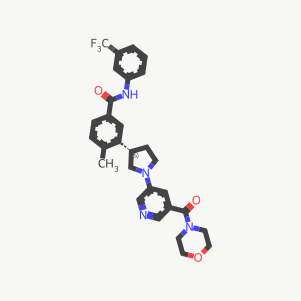 Cc1ccc(C(=O)Nc2cccc(C(F)(F)F)c2)cc1[C@@H]1CCN(c2cncc(C(=O)N3CCOCC3)c2)C1